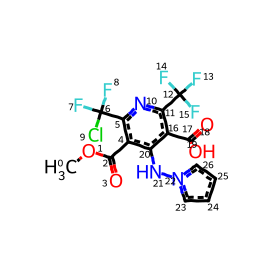 COC(=O)c1c(C(F)(F)Cl)nc(C(F)(F)F)c(C(=O)O)c1Nn1cccc1